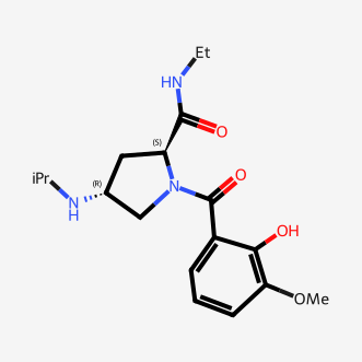 CCNC(=O)[C@@H]1C[C@@H](NC(C)C)CN1C(=O)c1cccc(OC)c1O